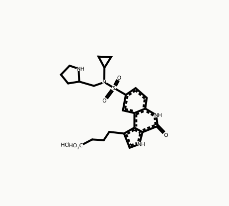 Cl.O=C(O)CCCc1c[nH]c2c(=O)[nH]c3ccc(S(=O)(=O)N(CC4CCCN4)C4CC4)cc3c12